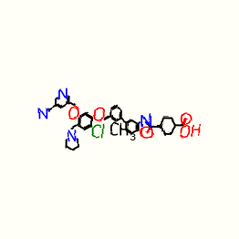 Cc1c(COc2cc(OCc3cncc(C#N)c3)c(CN3CCCCC3)cc2Cl)cccc1-c1ccc2oc(C3CCC(C(=O)O)CC3)nc2c1